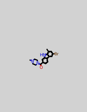 Cc1cc(Br)cc2c1[nH]c1cc(C(=O)N3CCN(C)CC3)ccc12